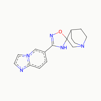 c1cn2cc(C3=NOC4(CN5CCC4CC5)N3)ccc2n1